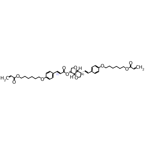 C=CC(=O)OCCCCCCOc1ccc(C=C[C@@H]2CO[C@H]3[C@@H]2OC[C@H]3OC(=O)/C=C/c2ccc(OCCCCCCOC(=O)C=C)cc2)cc1